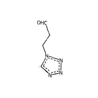 O=CCCn1[c]nnn1